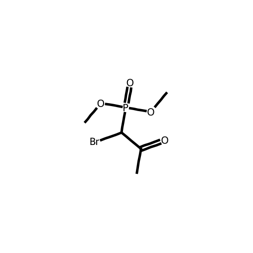 COP(=O)(OC)C(Br)C(C)=O